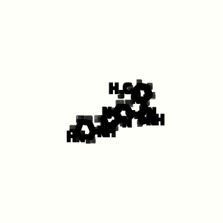 Cc1cccc(-c2n[nH]cc2-c2ccc3ncc(NC4CCCNC4)cc3n2)n1